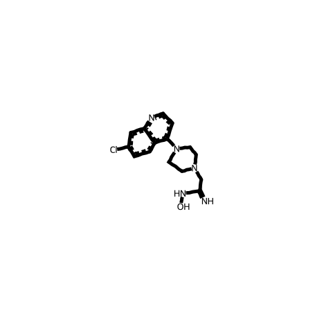 N=C(CN1CCN(c2ccnc3cc(Cl)ccc23)CC1)NO